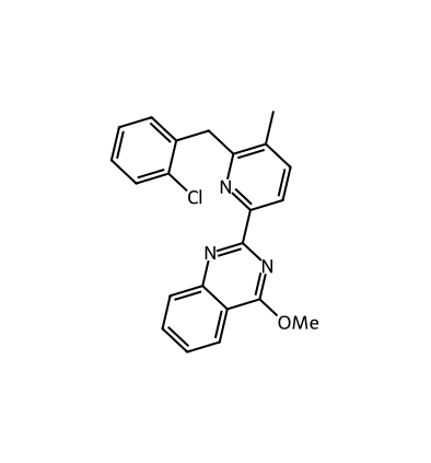 COc1nc(-c2ccc(C)c(Cc3ccccc3Cl)n2)nc2ccccc12